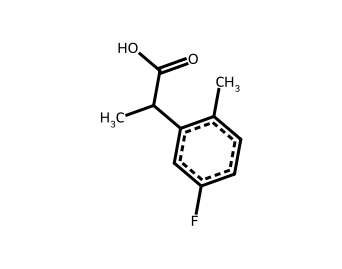 Cc1ccc(F)cc1C(C)C(=O)O